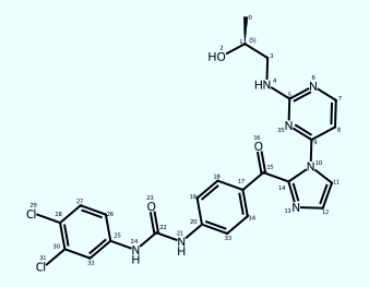 C[C@H](O)CNc1nccc(-n2ccnc2C(=O)c2ccc(NC(=O)Nc3ccc(Cl)c(Cl)c3)cc2)n1